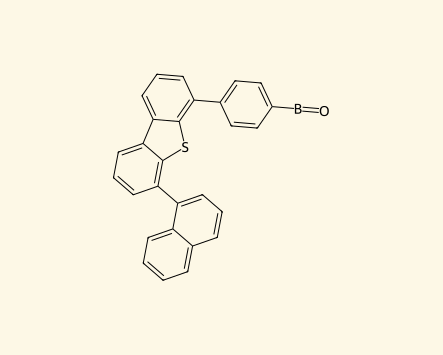 O=Bc1ccc(-c2cccc3c2sc2c(-c4cccc5ccccc45)cccc23)cc1